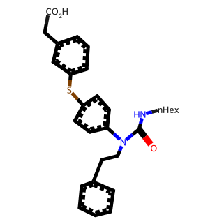 CCCCCCNC(=O)N(CCc1ccccc1)c1ccc(Sc2cccc(CC(=O)O)c2)cc1